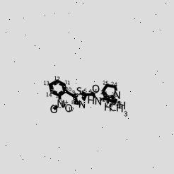 C[C@H]1[C@H](NC(=O)c2ncc(-c3ccccc3[N+](=O)[O-])s2)C2CCN1CC2